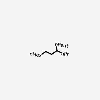 [CH2]CCCCCCCC(CCC)CCCCC